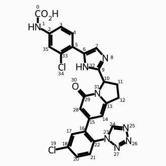 O=C(O)Nc1ccc(-c2cnc(C3CCc4cc(-c5cc(Cl)ccc5-n5cnnn5)cc(=O)n43)[nH]2)c(Cl)c1